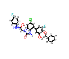 COc1cc(-c2cc(Cl)cc3c2n(C)c(=O)n3CC(=O)Nc2ccc(F)cc2)cc(F)c1OCc1ccccc1